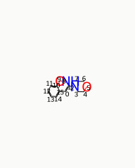 C1=C(N2CCOCC2)NOc2ccccc21